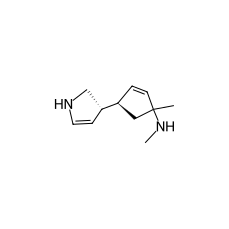 CNC1(C)C=C[C@H]([C@@H]2C=CNC2)C1